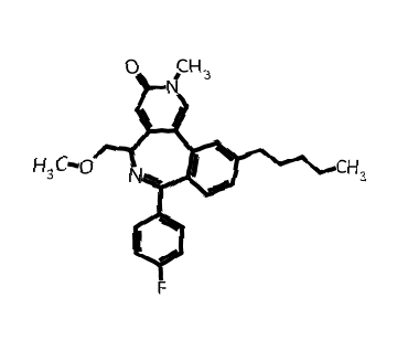 CCCCCc1ccc2c(c1)-c1cn(C)c(=O)cc1C(COC)N=C2c1ccc(F)cc1